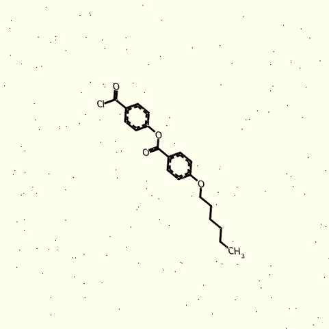 CCCCCCOc1ccc(C(=O)Oc2ccc(C(=O)Cl)cc2)cc1